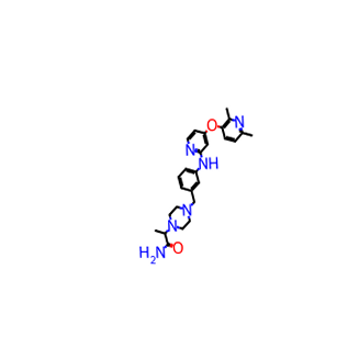 Cc1ccc(Oc2ccnc(Nc3cccc(CN4CCN(C(C)C(N)=O)CC4)c3)c2)c(C)n1